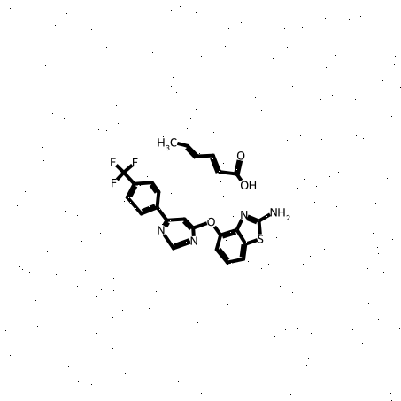 CC=CC=CC(=O)O.Nc1nc2c(Oc3cc(-c4ccc(C(F)(F)F)cc4)ncn3)cccc2s1